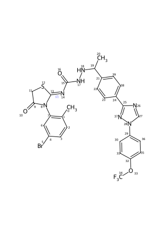 Cc1ccc(Br)cc1N1C(=O)CS/C1=N\C(=O)NNC(C)c1ccc(-c2ncn(-c3ccc(OC(F)(F)F)cc3)n2)cc1